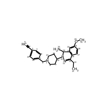 C#Cc1ccc(CN2CCC(N3N=C(CC)c4ccc(OC)cc4C3N)CC2)cc1